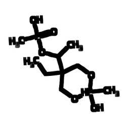 CCC1(C(C)OP(C)(=O)O)CO[PH](C)(O)OC1